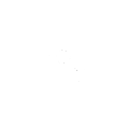 CCCCSc1ccc(OP(=S)(NC2CCCCO2)OCC)cc1